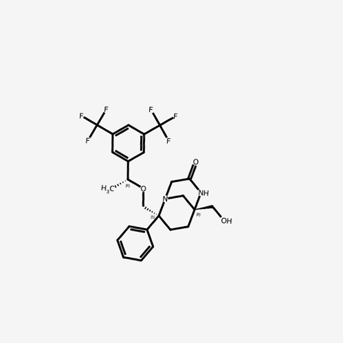 C[C@@H](OC[C@@]1(c2ccccc2)CC[C@]2(CO)CN1CC(=O)N2)c1cc(C(F)(F)F)cc(C(F)(F)F)c1